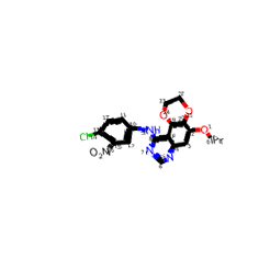 CC(C)Oc1cc2ncnc(Nc3ccc(Cl)c([N+](=O)[O-])c3)c2c2c1OCCO2